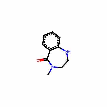 CN1CCNc2ccccc2C1=O